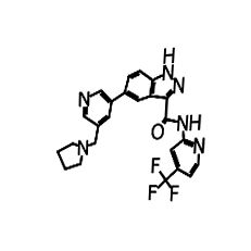 O=C(Nc1cc(C(F)(F)F)ccn1)c1n[nH]c2ccc(-c3cncc(CN4CCCC4)c3)cc12